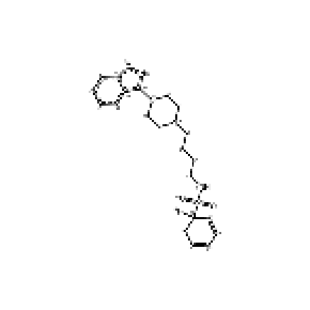 O=S(=O)(NCCCCN1CCN(c2noc3ccccc23)CC1)C1(F)C=CC=CC1